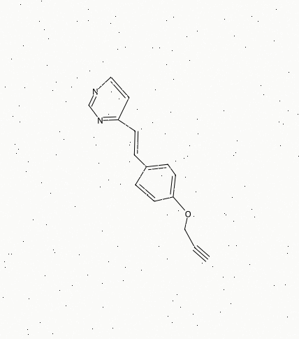 C#CCOc1ccc(/C=C/c2ccncn2)cc1